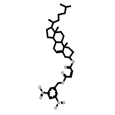 CC(C)CCCC(C)C1CCC2C3CC=C4CC(OC(=O)/C=C\C(=O)OCc5cc([N+](=O)[O-])cc([N+](=O)[O-])c5)CCC4(C)C3CCC12C